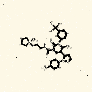 Cc1c(-c2ccnn2-c2ccc(N)cc2)cc(C(=O)NCCC[N+]2(C)CCCC2)c(=O)n1-c1cccc(C(F)(F)F)c1